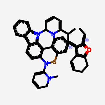 C/C=c1/oc2c(/c1=C/C(C)C1=CC=CC(n3c4ccccc4c4ccc5c(c43)-c3ccccc3SN5C3=CC=CCN3C)N1C)C=CCC2